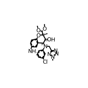 COC(OC)[C@@]1(C)Oc2ccc(N)cc2[C@@H](N(Cc2nnn(C)n2)c2cccc(Cl)c2)[C@@H]1O